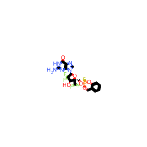 Nc1nc2c(ncn2[C@@H]2O[C@@](COP3(=S)OCc4ccccc4O3)(C(F)F)[C@@H](O)C2(F)F)c(=O)[nH]1